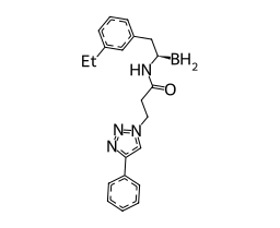 B[C@H](Cc1cccc(CC)c1)NC(=O)CCn1cc(-c2ccccc2)nn1